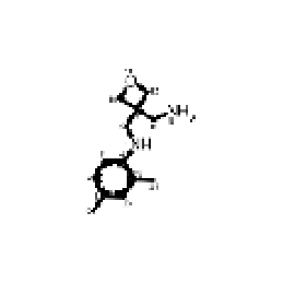 Cc1ccc(NCC2(CN)COC2)c(C)c1